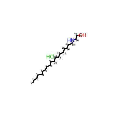 CCCCCCCCCCCCCCCCCCCNCCO.Cl